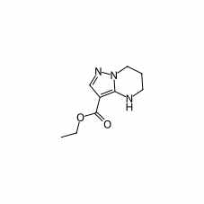 CCOC(=O)c1cnn2c1NCCC2